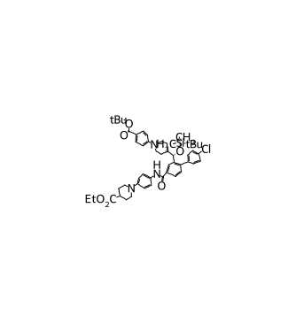 CCOC(=O)C1CCN(c2ccc(NC(=O)c3ccc(-c4ccc(Cl)cc4)c([C@@H](O[Si](C)(C)C(C)(C)C)C4CCN(c5ccc(C(=O)OC(C)(C)C)cc5)CC4)c3)cc2)CC1